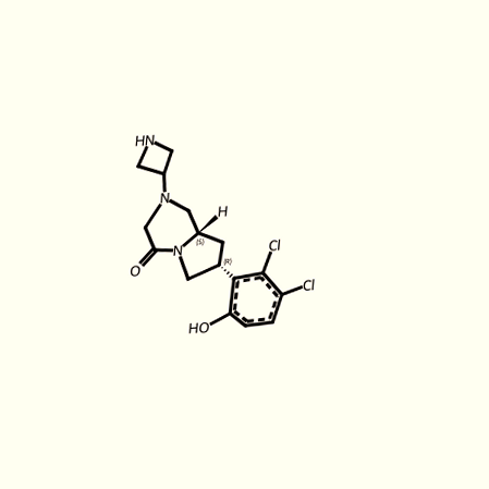 O=C1CN(C2CNC2)C[C@@H]2C[C@H](c3c(O)ccc(Cl)c3Cl)CN12